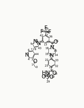 CCOc1cncc(-c2cnn(-c3cc(C(=O)N4CCN(c5ccc(C(=O)NS(C)(=O)=O)cc5)CC4)cc(C(F)(F)F)c3)c2)c1